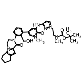 CN(CCn1ccc(Nc2cc(-c3cccc(N4CCn5c(cc6c5CCCC6)C4=O)c3CO)cn(C)c2=O)n1)C(=O)OC(C)(C)C